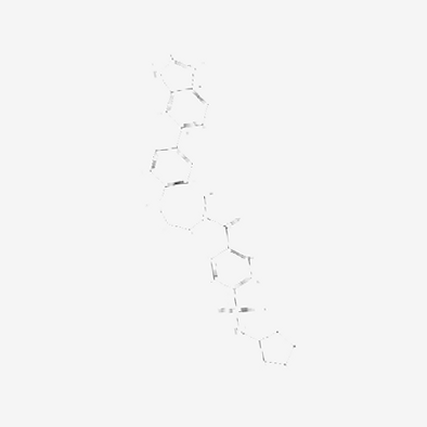 O=C(c1ccc(S(=O)(=O)NC2CCCC2)cc1)N1CCOc2ccc(-c3ccc4nc[nH]c4c3)cc2C1